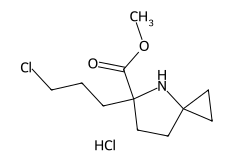 COC(=O)C1(CCCCl)CCC2(CC2)N1.Cl